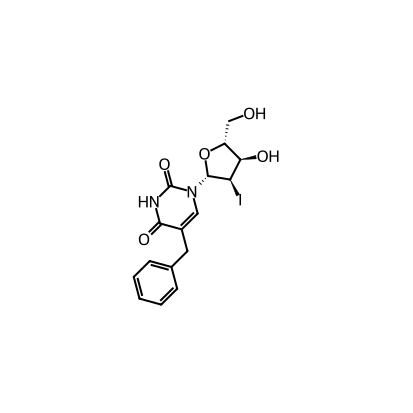 O=c1[nH]c(=O)n([C@@H]2O[C@H](CO)[C@@H](O)[C@H]2I)cc1Cc1ccccc1